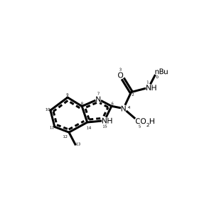 CCCCNC(=O)N(C(=O)O)c1nc2cccc(C)c2[nH]1